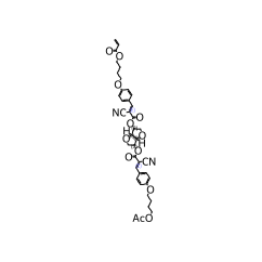 C=CC(=O)OCCCCOc1ccc(/C=C(\C#N)C(=O)O[C@@H]2CO[C@H]3[C@@H]2OC[C@@H]3OC(=O)/C(C#N)=C/c2ccc(OCCCCOC(C)=O)cc2)cc1